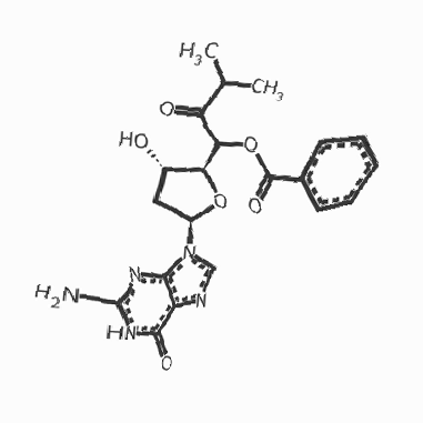 CC(C)C(=O)C(OC(=O)c1ccccc1)[C@H]1O[C@@H](n2cnc3c(=O)[nH]c(N)nc32)C[C@@H]1O